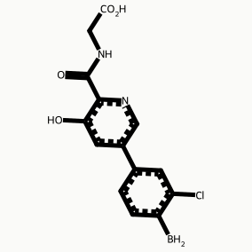 Bc1ccc(-c2cnc(C(=O)NCC(=O)O)c(O)c2)cc1Cl